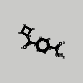 NC(=O)c1ccc(C(=O)N2CCC2)cc1